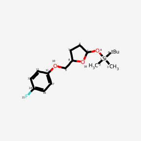 CC(C)(C)[Si](C)(C)OC1CCC(COc2ccc(F)cc2)O1